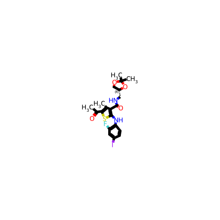 CC(=O)c1sc(Nc2ccc(I)cc2F)c(C(=O)NC[C@@H]2COC(C)(C)O2)c1C